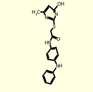 Cc1cc(O)nc(SCC(=O)Nc2ccc(Nc3ccccc3)cc2)n1